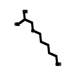 OCCCCCOCC(S)S